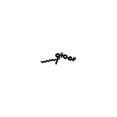 CCCCCCCCCCCC(CCC)Oc1ccccc1OC(=O)c1ccc(-c2ccc(C(C)OC)cc2)cc1